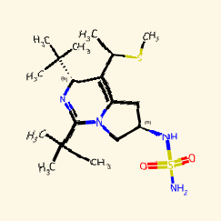 CSC(C)C1=C2C[C@@H](NS(N)(=O)=O)CN2C(C(C)(C)C)=N[C@@H]1C(C)(C)C